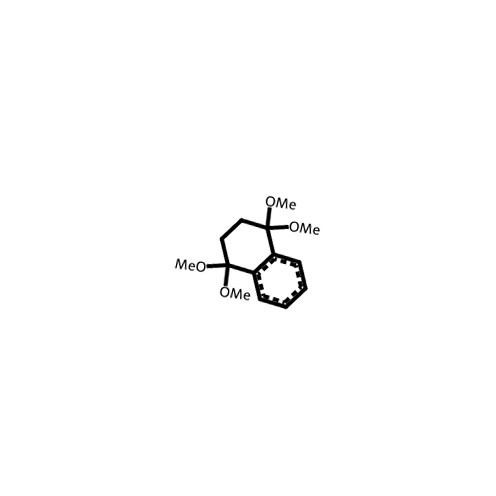 COC1(OC)CCC(OC)(OC)c2ccccc21